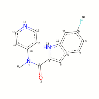 CN(C(=O)c1cc2ccc(F)cc2[nH]1)c1ccncc1